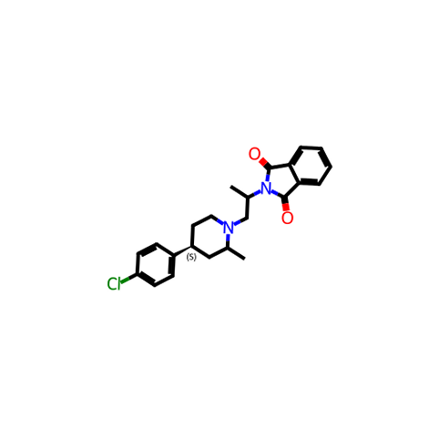 CC1C[C@@H](c2ccc(Cl)cc2)CCN1CC(C)N1C(=O)c2ccccc2C1=O